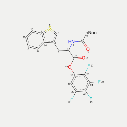 CCCCCCCCCC(=O)NC(Cc1csc2ccccc12)C(=O)Oc1cc(F)c(F)c(F)c1F